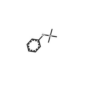 C[Se](C)(C)[Sn][c]1ccccc1